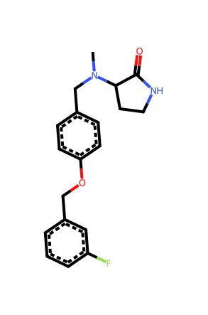 CN(Cc1ccc(OCc2cccc(F)c2)cc1)C1CCNC1=O